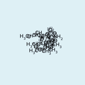 COCCOCC(C)OCC(C)OCC(C)OCC(C)OCC(C)OCC(C)OCC(C)OCC(C)OCC(C)n1c(=O)c2c(N)c3c(=O)c4ccccc4c(=O)c3c(N)c2c1=O